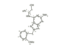 CCC[C@H](CO)Nc1nc(N)nc2cn(Cc3ccccc3OC)nc12